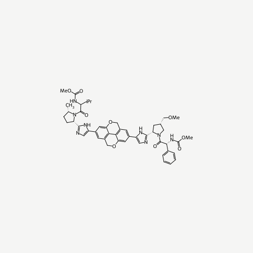 COC[C@H]1C[C@@H](c2ncc(-c3cc4c5c(c3)OCc3cc(-c6cnc([C@@H]7CC[C@H](C)N7C(=O)C(NC(=O)OC)C(C)C)[nH]6)cc(c3-5)OC4)[nH]2)N(C(=O)[C@H](NC(=O)OC)c2ccccc2)C1